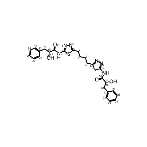 O=C(Nc1nnc(CCCCc2nnc(NC(=O)[C@@H](O)Cc3ccccc3)s2)s1)[C@@H](O)Cc1ccccc1